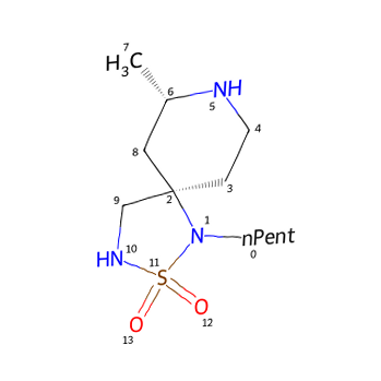 CCCCCN1[C@@]2(CCN[C@@H](C)C2)CNS1(=O)=O